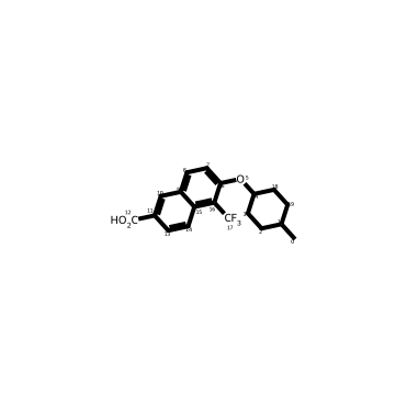 CC1CCC(Oc2ccc3cc(C(=O)O)ccc3c2C(F)(F)F)CC1